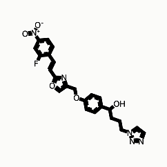 O=[N+]([O-])c1ccc(/C=C/c2nc(COc3ccc(C(O)CCCn4ccnn4)cc3)co2)c(F)c1